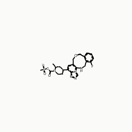 CC1CC(c2cc3c(n4cnnc24)NCc2c(F)cccc2COC3)CCN1C(=O)OS(C)(=O)=O